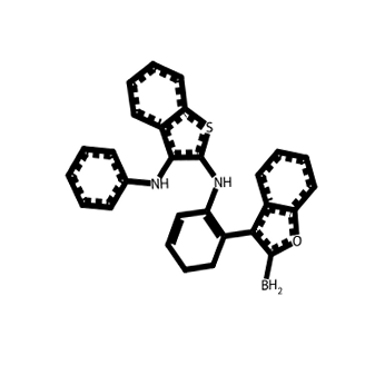 Bc1oc2ccccc2c1C1=C(Nc2sc3ccccc3c2Nc2ccccc2)C=CCC1